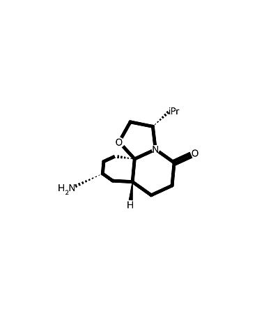 CC(C)[C@H]1CO[C@]23CC[C@@H](N)C[C@H]2CCC(=O)N13